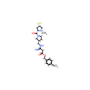 CN1C[C@@H](S)C[C@H]1C(=O)N1CC[C@@H](CNC(=N)CC(=O)OCc2ccc([N+](=O)[O-])cc2)C1